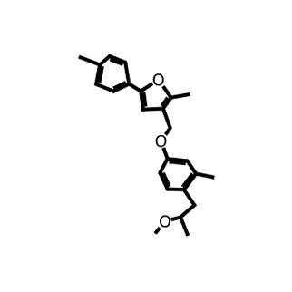 COC(C)Cc1ccc(OCc2cc(-c3ccc(C)cc3)oc2C)cc1C